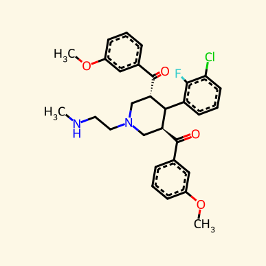 CNCCN1C[C@H](C(=O)c2cccc(OC)c2)C(c2cccc(Cl)c2F)[C@@H](C(=O)c2cccc(OC)c2)C1